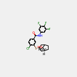 O=C(Nc1cc(F)c(F)c(F)c1)c1ccc(Cl)c(S[C@@H]2CC3CC[C@@H](C2)[C@@H]3O)c1